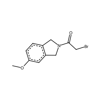 COc1ccc2c(c1)CN(C(=O)CBr)C2